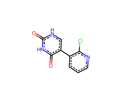 O=c1[nH]cc(-c2cccnc2Cl)c(=O)[nH]1